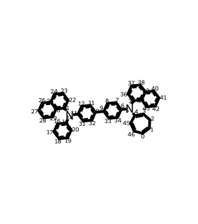 C1=CCC=C(N(c2ccc(-c3ccc(N(c4ccccc4)c4cccc5ccccc45)cc3)cc2)c2cccc3ccccc23)C=C1